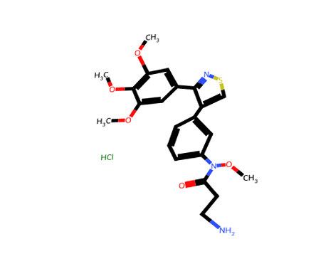 COc1cc(-c2nscc2-c2cccc(N(OC)C(=O)CCN)c2)cc(OC)c1OC.Cl